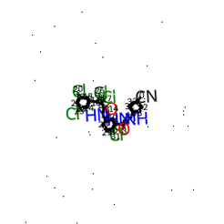 N#Cc1ccc(NNC(=O)c2cc(NC(=O)C3C(c4cc(Cl)cc(Cl)c4)C3(Cl)Cl)ccc2Cl)cc1